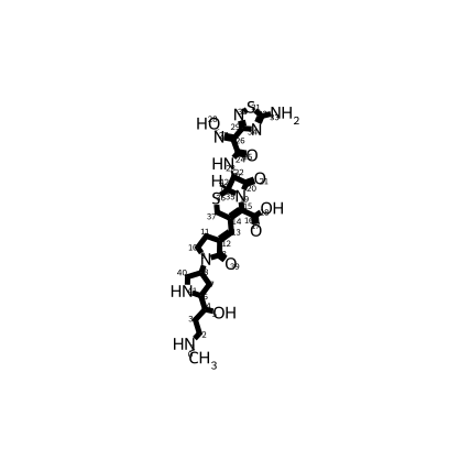 CNCCC(O)C1CC(N2CCC(=CC3=C(C(=O)O)N4C(=O)[C@@H](NC(=O)C(=NO)c5nsc(N)n5)[C@H]4SC3)C2=O)CN1